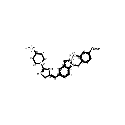 COc1ccc(Cn2ncc3cc(C=C4CN=C(N5CCC(C(=O)O)CC5)S4)ccc32)c(C(F)(F)F)c1